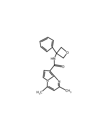 Cc1cc(C)n2ccc(C(=O)NC3(c4ccccc4)COC3)c2n1